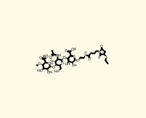 CCSC1CC(=O)N(CCCC(=O)NCCO[C@@H]2OC(C(=O)O)[C@@H](O[C@H]3OC(CO)[C@@H](O[C@@H]4OC(C(=O)O)[C@@H](OC)C(O)[C@@H]4O)[C@H](O)C3NC(C)=O)C(O)[C@@H]2O)C1=O